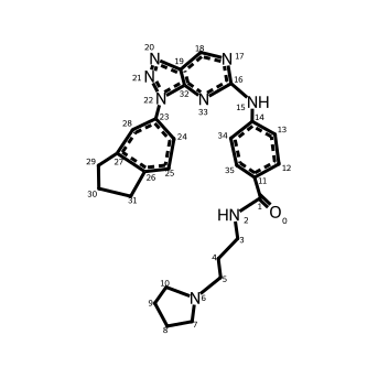 O=C(NCCCN1CCCC1)c1ccc(Nc2ncc3nnn(-c4ccc5c(c4)CCC5)c3n2)cc1